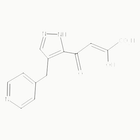 O=C(O)C(O)=CC(=O)c1[nH]ncc1Cc1ccncc1